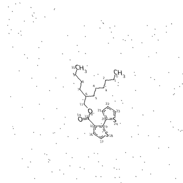 CCCCCCC(CCCC)COC(=O)c1ccsc1-c1cccs1